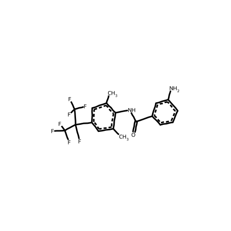 Cc1cc(C(F)(C(F)(F)F)C(F)(F)F)cc(C)c1NC(=O)c1cccc(N)c1